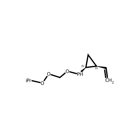 C=C[C@@H]1C[C@@H]1POCOOC(C)C